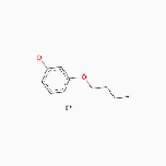 CCCCOc1cccc([O-])c1.[K+]